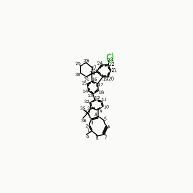 C/C1=C/C2=C(CC#CC1)c1ccc(-c3ccc4c(c3)-c3ccc(Cl)cc3C43CCCCC3)cc1C2(C)C